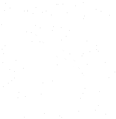 CS(C)(=O)=Nc1cccc(-n2c(C3CC3)cc3cnc(Nc4ccc(N5CCN6COCC6C5)cc4)nc32)n1